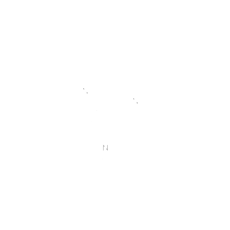 c1ccc(N(c2ccc3c(c2)C2(c4ccccc4N(c4ccccc4)c4ccccc42)c2cccc(N(c4ccccc4)c4ccc5ccccc5c4)c2-3)c2ccc3ccccc3c2)cc1